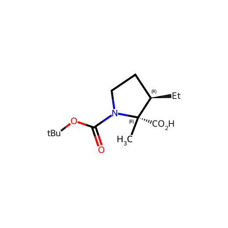 CC[C@@H]1CCN(C(=O)OC(C)(C)C)[C@@]1(C)C(=O)O